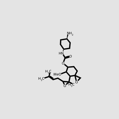 COC1C(OC(=O)N[C@H]2CC[C@H](N)CC2)CCC2(CO2)C1C1(C)OC1CC=C(C)C